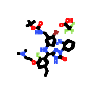 CCc1cc(OCCN(C)C)c(F)c(C(Nc2ccc(Br)c(CNC(=O)OC(C)(C)C)c2)c2nn(-c3ccccc3N)c(=O)[nH]2)c1.O=C(O)C(F)(F)F